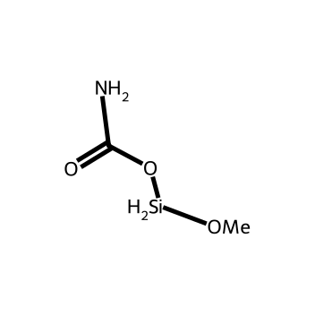 CO[SiH2]OC(N)=O